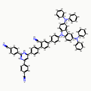 N#Cc1ccc(-c2cc(-c3ccc(-c4ccc(-c5ccc(-n6c7ccc(N(c8ccccc8)c8ccccc8)cc7c7cc(N(c8ccccc8)c8ccccc8)ccc76)cc5)cc4C#N)cc3)nc(-c3ccc(C#N)cc3)n2)cc1